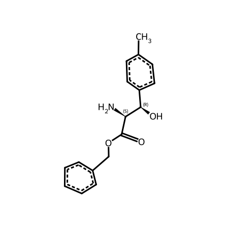 Cc1ccc([C@@H](O)[C@H](N)C(=O)OCc2ccccc2)cc1